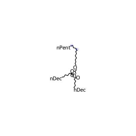 CCCCC/C=C\C/C=C\CCCCCCCCOCC(COC(=O)CCCCCCCCCCCCCCC)OC(=O)CCCCCCCCCCCCCCC